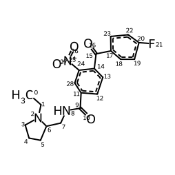 CCN1CCCC1CNC(=O)c1ccc(C(=O)c2ccc(F)cc2)c([N+](=O)[O-])c1